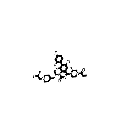 C=CC(=O)N1CCN(c2nc(=O)n3c4c(c(-c5ccc(F)cc5F)c(Cl)cc24)SC[C@H]3CC2CCN(CC(F)F)CC2)[C@@H](C)C1